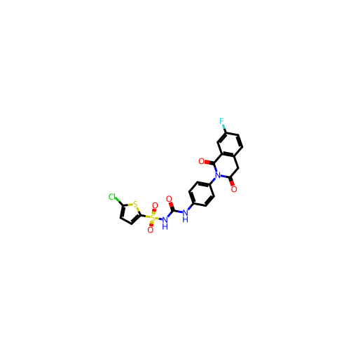 O=C(Nc1ccc(N2C(=O)Cc3ccc(F)cc3C2=O)cc1)NS(=O)(=O)c1ccc(Cl)s1